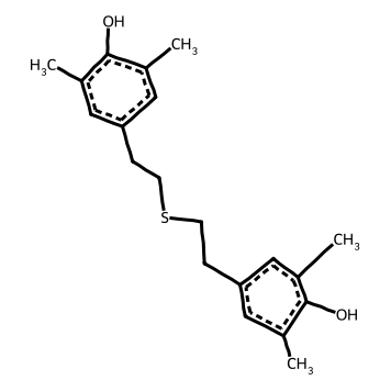 Cc1cc(CCSCCc2cc(C)c(O)c(C)c2)cc(C)c1O